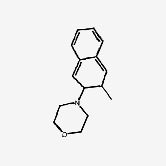 CC1C=c2ccccc2=CC1N1CCOCC1